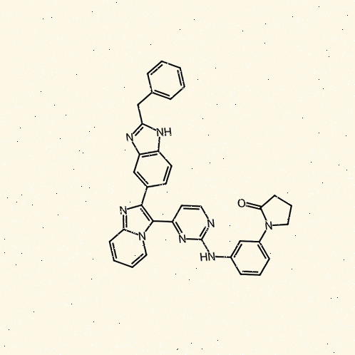 O=C1CCCN1c1cccc(Nc2nccc(-c3c(-c4ccc5[nH]c(Cc6ccccc6)nc5c4)nc4ccccn34)n2)c1